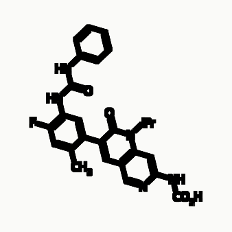 Cc1cc(F)c(NC(=O)Nc2ccccc2)cc1-c1cc2cnc(NC(=O)O)cc2n(C(C)C)c1=O